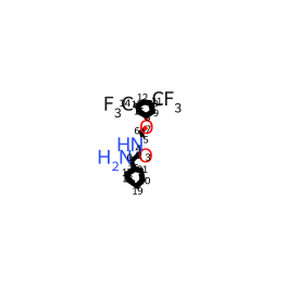 NC(C(=O)NCCOc1cc(C(F)(F)F)cc(C(F)(F)F)c1)c1ccccc1